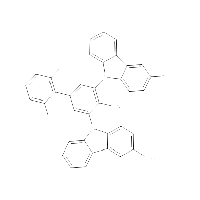 CC(C)(C)c1ccc2c(c1)c1ccccc1n2-c1cc(-c2c(F)cccc2F)cc(-n2c3ccccc3c3cc(C(C)(C)C)ccc32)c1C#N